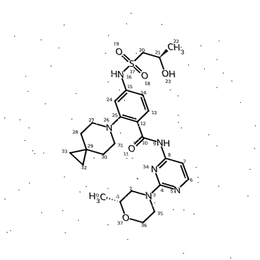 C[C@@H]1CN(c2nccc(NC(=O)c3ccc(NS(=O)(=O)C[C@@H](C)O)cc3N3CCC4(CC3)CC4)n2)CCO1